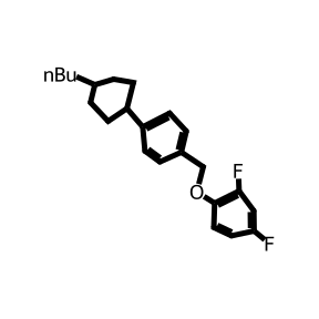 CCCCC1CCC(c2ccc(COc3ccc(F)cc3F)cc2)CC1